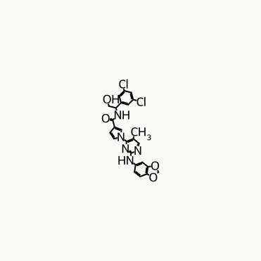 Cc1cnc(Nc2ccc3c(c2)OCO3)nc1-n1ccc(C(=O)NC(CO)c2cc(Cl)cc(Cl)c2)c1